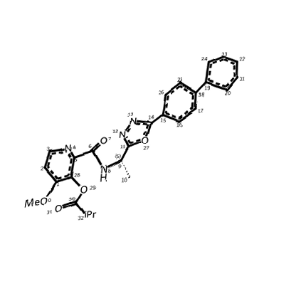 COc1ccnc(C(=O)N[C@@H](C)c2nnc(-c3ccc(-c4ccccc4)cc3)o2)c1OC(=O)C(C)C